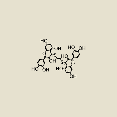 Oc1cc(O)c2c(c1)O[C@H](c1ccc(O)c(O)c1)[C@H](O)[C@H]2SCCS[C@H]1c2c(O)cc(O)cc2O[C@H](c2ccc(O)c(O)c2)[C@@H]1O